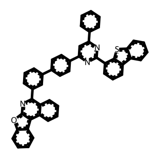 c1ccc(-c2cc(-c3ccc(-c4cccc(-c5nc6oc7ccccc7c6c6ccccc56)c4)cc3)nc(-c3cccc4c3sc3ccccc34)n2)cc1